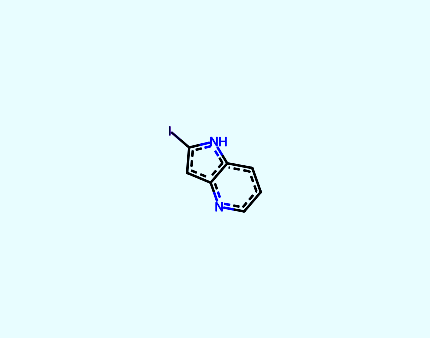 Ic1cc2ncccc2[nH]1